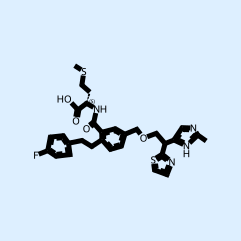 CSCC[C@H](NC(=O)c1cc(COCC(c2cnc(C)[nH]2)c2nccs2)ccc1CCc1ccc(F)cc1)C(=O)O